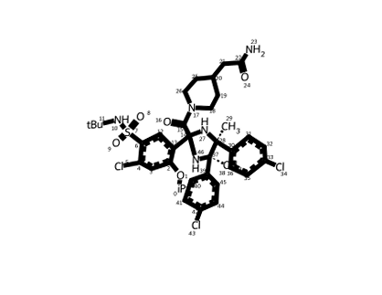 CC(C)Oc1cc(Cl)c(S(=O)(=O)NC(C)(C)C)cc1C1(C(=O)N2CCC(CC(N)=O)CC2)N[C@@](C)(c2ccc(Cl)cc2)[C@@](C)(c2ccc(Cl)cc2)N1